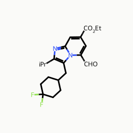 CCOC(=O)c1cc(C=O)n2c(CC3CCC(F)(F)CC3)c(C(C)C)nc2c1